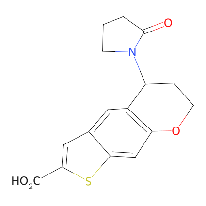 O=C(O)c1cc2cc3c(cc2s1)OCCC3N1CCCC1=O